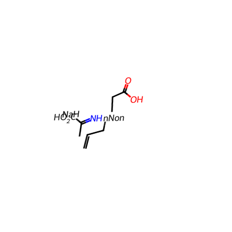 C=CCCCCCCCCCC.CC(=N)C(=O)O.CCC(=O)O.[NaH]